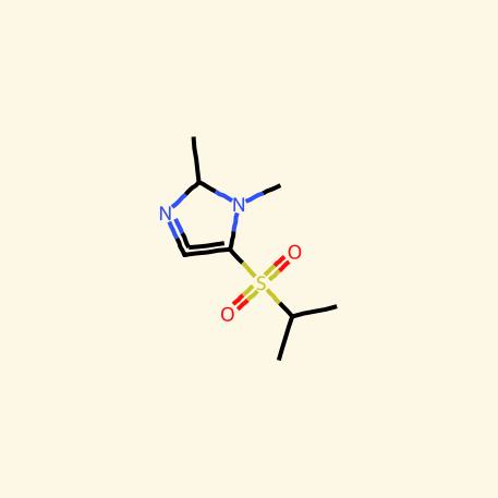 CC1N=C=C(S(=O)(=O)C(C)C)N1C